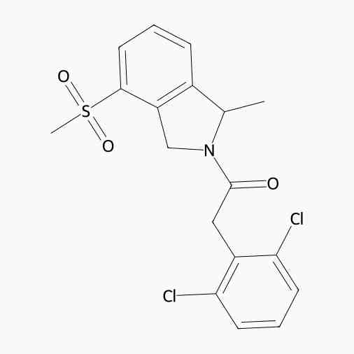 CC1c2cccc(S(C)(=O)=O)c2CN1C(=O)Cc1c(Cl)cccc1Cl